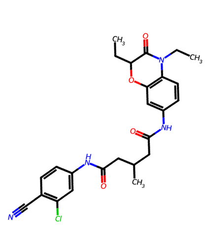 CCC1Oc2cc(NC(=O)CC(C)CC(=O)Nc3ccc(C#N)c(Cl)c3)ccc2N(CC)C1=O